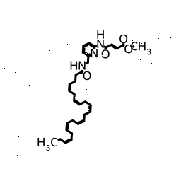 CC/C=C\C/C=C\C/C=C\C/C=C\C/C=C\C/C=C\CCC(=O)NCc1cccc(NC(=O)C=CC(=O)OC)n1